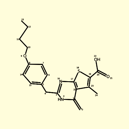 C=C1NC(Cc2ccc(OCCCC)cc2)=Nc2sc(C(=O)O)c(C)c21